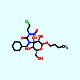 CCCCO[C@H]1O[C@H](CO)[C@@H](O)[C@](O)(N(CC2CCCCC2)C(=O)N(CCCl)N=O)[C@H]1O